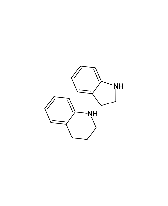 c1ccc2c(c1)CCCN2.c1ccc2c(c1)CCN2